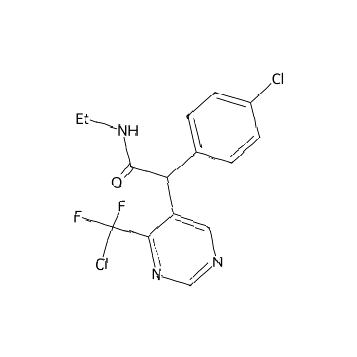 CCNC(=O)C(c1ccc(Cl)cc1)c1cncnc1C(F)(F)Cl